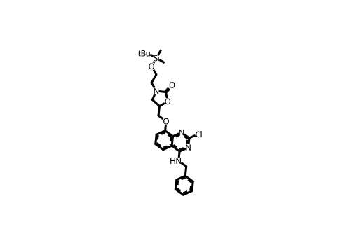 CC(C)(C)[Si](C)(C)OCCN1CC(COc2cccc3c(NCc4ccccc4)nc(Cl)nc23)OC1=O